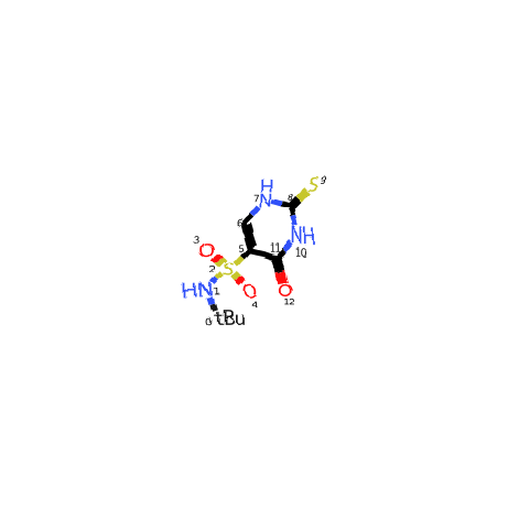 CC(C)(C)NS(=O)(=O)c1c[nH]c(=S)[nH]c1=O